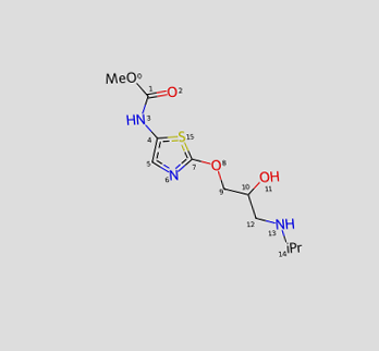 COC(=O)Nc1cnc(OCC(O)CNC(C)C)s1